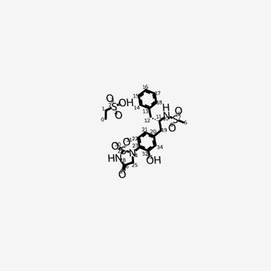 CCS(=O)(=O)O.CS(=O)(=O)N[C@@H](Cc1ccccc1)Cc1ccc(N2CC(=O)NS2(=O)=O)c(O)c1